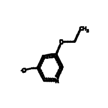 CCOc1cncc([O])c1